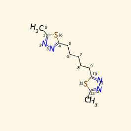 Cc1nnc(CCCCCc2nnc(C)s2)s1